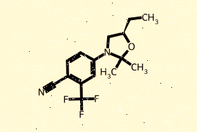 CC[C@@H]1CN(c2ccc(C#N)c(C(F)(F)F)c2)C(C)(C)O1